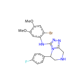 COc1cc(Br)c(Nc2nnc3n2C(c2ccc(F)cc2)CNC3)cc1OC